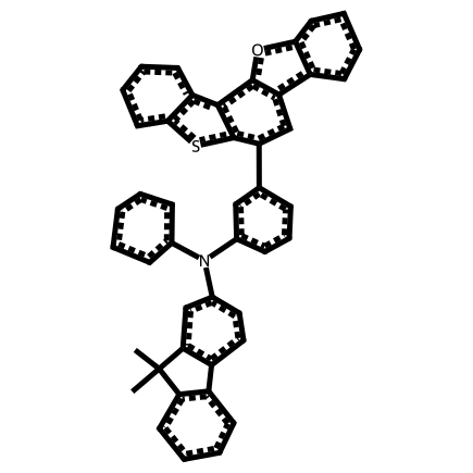 CC1(C)c2ccccc2-c2ccc(N(c3ccccc3)c3cccc(-c4cc5c6ccccc6oc5c5c4sc4ccccc45)c3)cc21